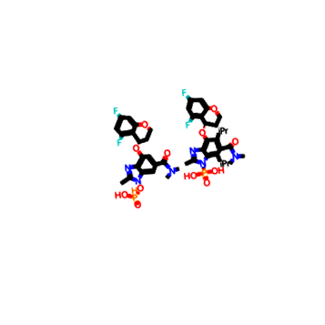 Cc1nc2c(O[C@H]3CCOc4cc(F)cc(F)c43)c(C(C)C)c(C(=O)N(C)C)c(C(C)C)c2n1P(=O)(O)O.Cc1nc2c(O[C@H]3CCOc4cc(F)cc(F)c43)cc(C(=O)N(C)C)cc2n1O[PH](=O)O